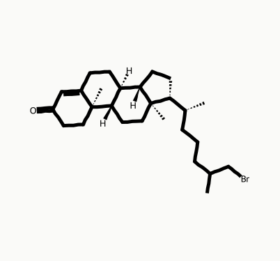 CC(CBr)CCC[C@@H](C)[C@H]1CC[C@H]2[C@@H]3CCC4=CC(=O)CC[C@]4(C)[C@H]3CC[C@]12C